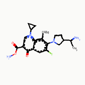 COc1c(N2CCC(C(C)N)C2)c(F)cc2c(=O)c(C(=O)ON)cn(C3CC3)c12